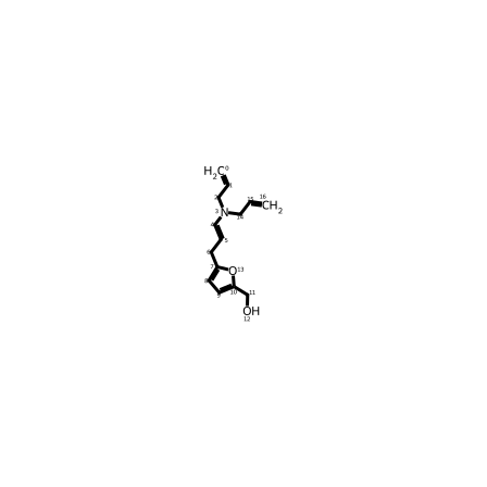 C=CCN(C=CCc1ccc(CO)o1)CC=C